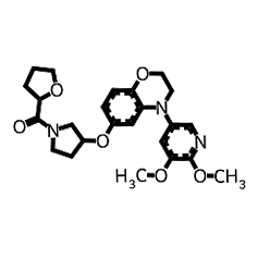 COc1cc(N2CCOc3ccc(OC4CCN(C(=O)C5CCCO5)C4)cc32)cnc1OC